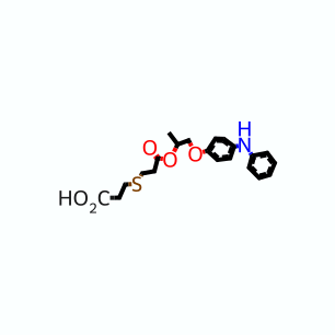 CC(COc1ccc(Nc2ccccc2)cc1)OC(=O)CCSCCC(=O)O